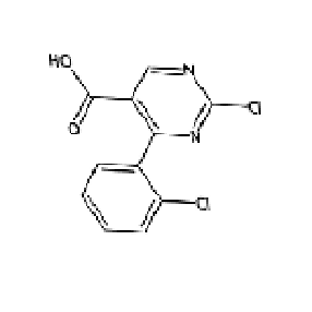 O=C(O)c1cnc(Cl)nc1-c1ccccc1Cl